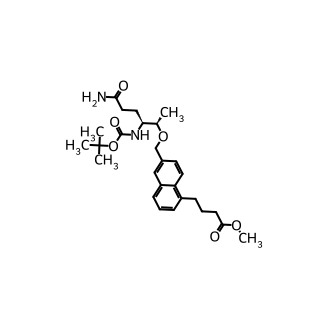 COC(=O)CCCc1cccc2cc(CO[C@H](C)[C@H](CCC(N)=O)NC(=O)OC(C)(C)C)ccc12